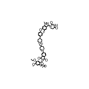 CCOc1cc([C@@H](CS(C)(=O)=O)N2C(=O)c3ccc(N4CCC(F)(CN5CCC(c6ccc(Oc7cc8c(cc7F)c(N7CCC(=O)NC7=O)nn8C)cc6)CC5)CC4)cc3C2=O)ccc1OC